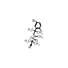 CN(CC(C)(C)c1cc(Br)ccc1F)S(=O)(=O)C(C)(C)C#N